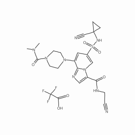 CN(C)C(=O)N1CCN(c2cc(S(=O)(=O)NC3(C#N)CC3)cn3c(C(=O)NCC#N)cnc23)CC1.O=C(O)C(F)(F)F